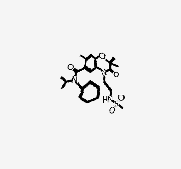 Cc1cc2c(cc1C(=O)N(C(C)C)C1CCCCC1)N(CCNS(C)(=O)=O)C(=O)C(C)(C)O2